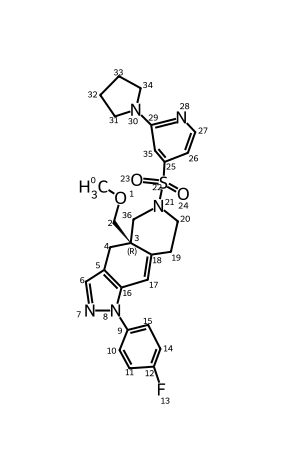 COC[C@]12Cc3cnn(-c4ccc(F)cc4)c3C=C1CCN(S(=O)(=O)c1ccnc(N3CCCC3)c1)C2